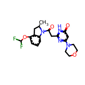 C[C@@H]1Cc2c(OC(F)F)cccc2N1C(=O)Cc1nc(N2CCOCC2)cc(=O)[nH]1